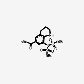 CCCCC(=O)c1cc2c(c(N(S(=O)(=O)CCCC)S(=O)(=O)CCCC)c1)NCCC2